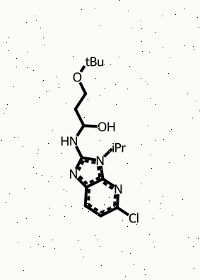 CC(C)n1c(NC(O)CCOC(C)(C)C)nc2ccc(Cl)nc21